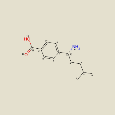 CC(C)CC[C@@H](N)c1ccc(C(=O)O)cc1